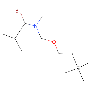 CC(C)C(Br)N(C)COCC[Si](C)(C)C